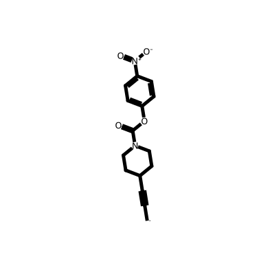 [CH2]C#CC1CCN(C(=O)Oc2ccc([N+](=O)[O-])cc2)CC1